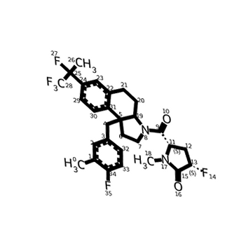 Cc1cc(CC23CCN(C(=O)[C@@H]4C[C@H](F)C(=O)N4C)C2CCc2cc(C(C)(F)C(F)(F)F)ccc23)ccc1F